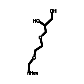 CCCCCCCOCCOCC(O)CO